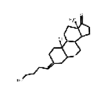 C[C@]12CC/C(=C\CCCO)CC1OCC1C2CC[C@]2(C)C(=O)CCC12